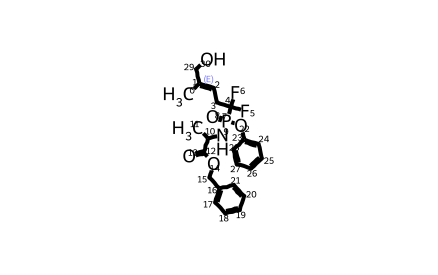 C/C(=C\CC(F)(F)P(=O)(NC(C)C(=O)OCc1ccccc1)Oc1ccccc1)CO